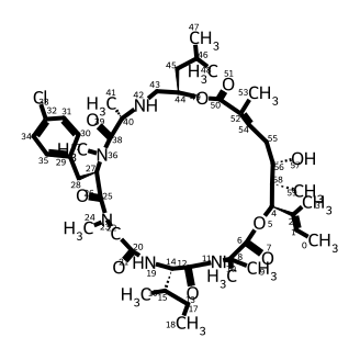 C/C=C(\C)[C@H]1OC(=O)C(C)(C)NC(=O)[C@H](C(C)CC)NC(=O)CN(C)C(=O)[C@@H](Cc2ccc(Cl)cc2)N(C)C(=O)[C@H](C)NC[C@@H](CC(C)C)OC(=O)/C(C)=C/C[C@H](O)[C@@H]1C